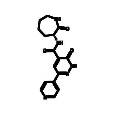 O=C(N[C@@H]1CCCCNC1=O)c1cc(-c2ccncc2)n[nH]c1=O